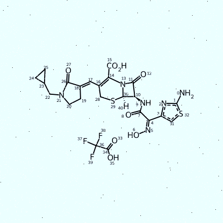 Nc1nc(/C(=N/O)C(=O)N[C@@H]2C(=O)N3C(C(=O)O)=C(/C=C4\CCN(CC5CC5)C4=O)CS[C@H]23)cs1.O=C(O)C(F)(F)F